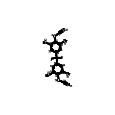 CC(C)(c1cc(Br)c(OC#N)c(Br)c1)c1cc(Br)c(OC#N)c(Br)c1